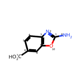 Nc1nc2ccc(C(=O)O)cc2o1